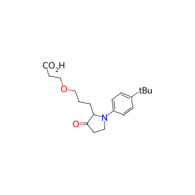 CC(C)(C)c1ccc(N2CCC(=O)C2CCCOCCC(=O)O)cc1